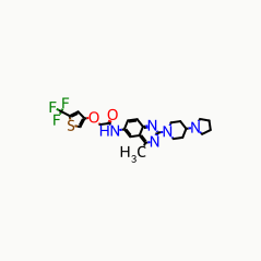 Cc1nc(N2CCC(N3CCCC3)CC2)nc2ccc(NC(=O)COc3csc(C(F)(F)F)c3)cc12